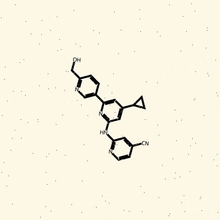 N#Cc1ccnc(Nc2cc(C3CC3)cc(-c3ccc(CO)nc3)n2)c1